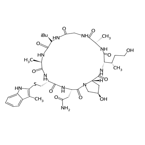 CC[C@H](C)C1NC(=O)CNC(=O)[C@H](C)NC(=O)[C@H]([C@@H](C)CCO)NC(=O)[C@@H]2C[C@@H](O)CN2C(=O)[C@H](CC(N)=O)NC(=O)[C@H](CSc2[nH]c3ccccc3c2C)NC(=O)[C@@H](C)NC1=O